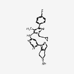 CCCN1Cc2cnn(-c3cc(Nc4c(C)c(-c5ccc(F)cc5)nn4CC4CC4)ncn3)c2C1